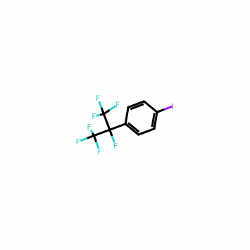 FC(F)(F)C(F)(c1ccc(I)cc1)C(F)(F)F